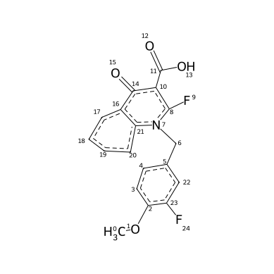 COc1ccc(Cn2c(F)c(C(=O)O)c(=O)c3ccccc32)cc1F